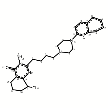 Nn1c(CCCCN2CCN(c3ccc4ccccc4n3)CC2)nc2c(c1=O)CCCC2Cl